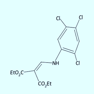 CCOC(=O)C(=CNc1cc(Cl)c(Cl)cc1Cl)C(=O)OCC